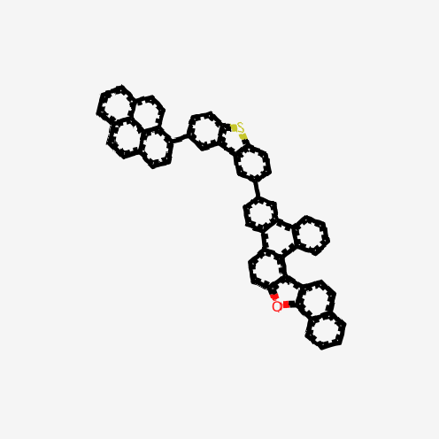 c1ccc2c(c1)ccc1c2oc2ccc3c4ccc(-c5ccc6sc7ccc(-c8ccc9ccc%10cccc%11ccc8c9c%10%11)cc7c6c5)cc4c4ccccc4c3c21